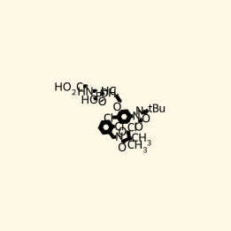 C#CCOc1cc(-n2nc(C(C)(C)C)oc2=O)c(Cl)cc1Cl.CC1(C)CON(Cc2ccccc2Cl)C1=O.O=C(O)CNCP(=O)(O)O